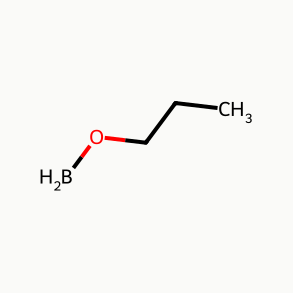 BOCCC